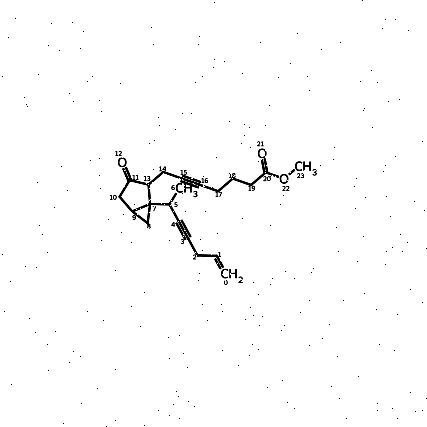 C=CCC#CC(C)C12CC1CC(=O)C2CC#CCCCC(=O)OC